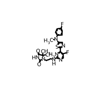 CN(c1ccc(F)cc1)c1cnc(-c2nc(NCCN3C(=O)NC(=O)C3(C)C)ncc2F)s1